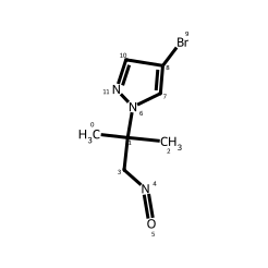 CC(C)(CN=O)n1cc(Br)cn1